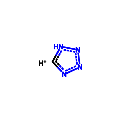 [H+].c1nnn[nH]1